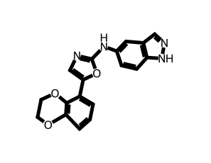 c1cc2c(c(-c3cnc(Nc4ccc5[nH]ncc5c4)o3)c1)OCCO2